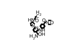 C=CC(=O)N[C@@H]1CCN(c2ccc(C(N)O)c(Nc3ccc(C(=O)N4CCOCC4)cc3)n2)C1